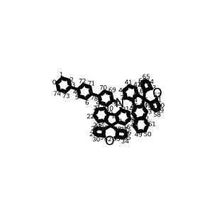 c1ccc(-c2ccc(-c3ccc(N(c4cccc5c4-c4ccccc4C54c5ccccc5Oc5ccccc54)c4cccc5c4-c4cc6ccccc6cc4C54c5ccccc5Oc5ccccc54)cc3)cc2)cc1